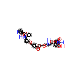 O=C(NC(c1ccccc1)c1cccc(OCc2ccc(C(=O)OCCOCCNC[C@@H](O)c3ccc(O)c4[nH]c(=O)ccc34)cc2)c1)O[C@H]1CN2CCC1CC2